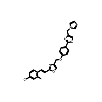 Fc1cc(Cl)ccc1C=Cc1nc(COc2ccc(-c3nc(Cn4ccnc4)co3)cc2)co1